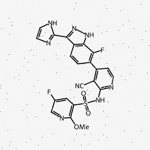 COc1ncc(F)cc1S(=O)(=O)Nc1nccc(-c2ccc3c(-c4ncc[nH]4)n[nH]c3c2F)c1C#N